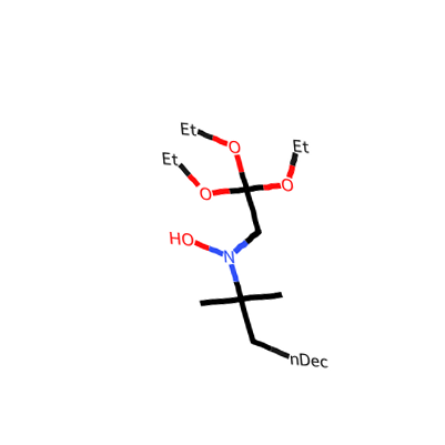 CCCCCCCCCCCC(C)(C)N(O)CC(OCC)(OCC)OCC